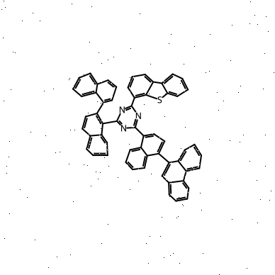 c1ccc2c(-c3ccc4ccccc4c3-c3nc(-c4ccc(-c5cc6ccccc6c6ccccc56)c5ccccc45)nc(-c4cccc5c4sc4ccccc45)n3)cccc2c1